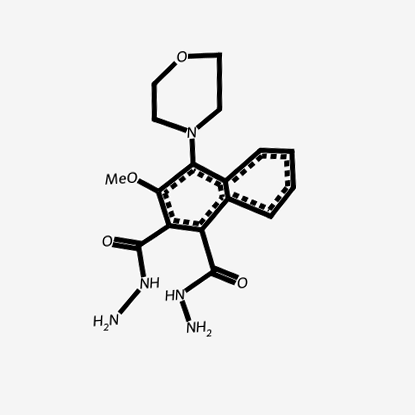 COc1c(C(=O)NN)c(C(=O)NN)c2ccccc2c1N1CCOCC1